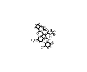 CS(=O)(=O)NC(=O)c1c(-n2c(=O)[nH]c3cscc3c2=O)c2cc(C(F)(F)F)ccc2n1Cc1cc(Cl)ccc1F